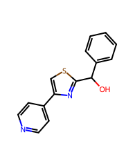 OC(c1ccccc1)c1nc(-c2ccncc2)cs1